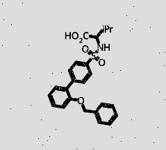 CC(C)C(NS(=O)(=O)c1ccc(-c2ccccc2OCc2ccccc2)cc1)C(=O)O